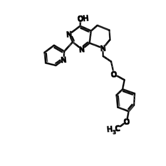 COc1ccc(COCCN2CCCc3c(O)nc(-c4ccccn4)nc32)cc1